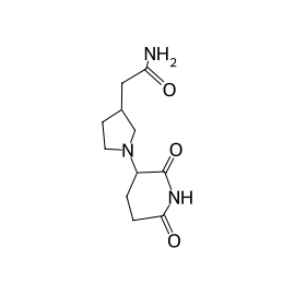 NC(=O)CC1CCN(C2CCC(=O)NC2=O)C1